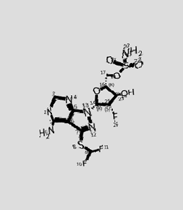 Nc1ncnc2c1c(SC(F)F)nn2[C@@H]1O[C@H](COS(N)(=O)=O)[C@@H](O)[C@@H]1F